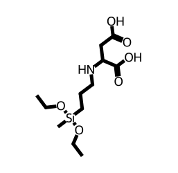 CCO[Si](C)(CCCNC(CC(=O)O)C(=O)O)OCC